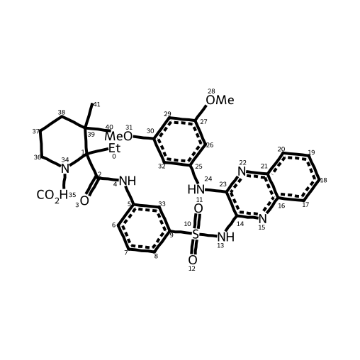 CCC1(C(=O)Nc2cccc(S(=O)(=O)Nc3nc4ccccc4nc3Nc3cc(OC)cc(OC)c3)c2)N(C(=O)O)CCCC1(C)C